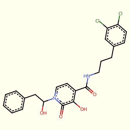 O=C(NCCCc1ccc(Cl)c(Cl)c1)c1ccn(C(O)Cc2ccccc2)c(=O)c1O